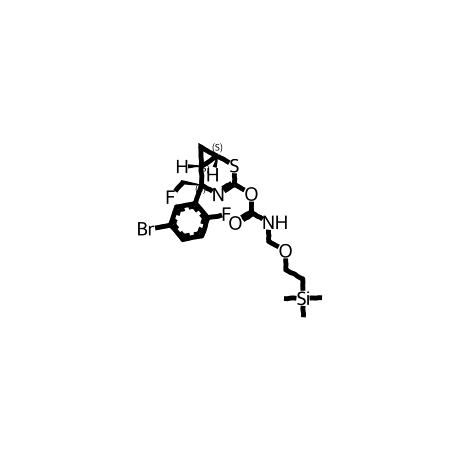 C[Si](C)(C)CCOCNC(=O)OC1=N[C@](CF)(c2cc(Br)ccc2F)[C@@H]2C[C@@H]2S1